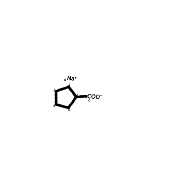 O=C([O-])C1CCCC1.[Na+]